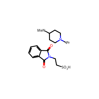 CNC1CCN(C(C)C)CC1.O=C1c2ccccc2C(=O)N1CCS(=O)(=O)O